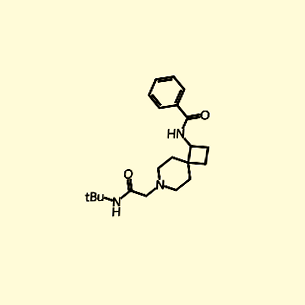 CC(C)(C)NC(=O)CN1CCC2(CCC2NC(=O)c2ccccc2)CC1